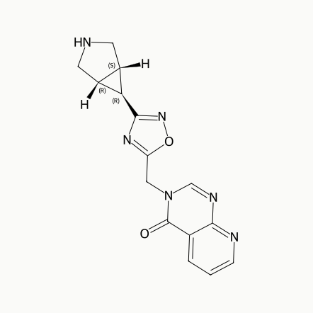 O=c1c2cccnc2ncn1Cc1nc([C@H]2[C@@H]3CNC[C@@H]32)no1